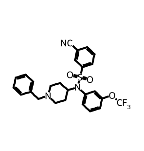 N#Cc1cccc(S(=O)(=O)N(c2cccc(OC(F)(F)F)c2)C2CCN(Cc3ccccc3)CC2)c1